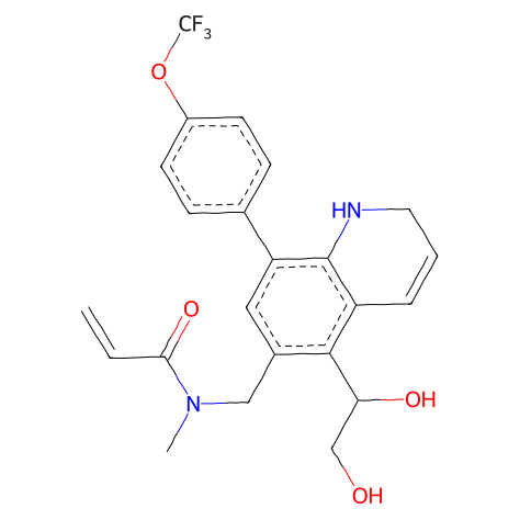 C=CC(=O)N(C)Cc1cc(-c2ccc(OC(F)(F)F)cc2)c2c(c1C(O)CO)C=CCN2